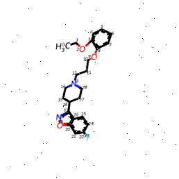 CCOc1ccc[c]c1OCCCN1CCC(c2noc3cc(F)ccc23)CC1